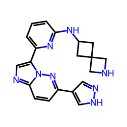 c1cc(NC2CC3(CNC3)C2)nc(-c2cnc3ccc(-c4cn[nH]c4)nn23)c1